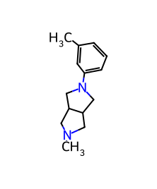 Cc1cccc(N2CC3CN(C)CC3C2)c1